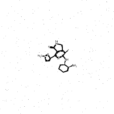 Cn1ccc(-c2nc(N[C@@H]3CCCC[C@@H]3N)c(F)c3c2C(=O)NC3)n1